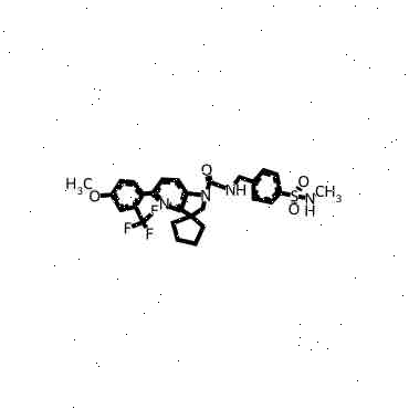 CNS(=O)(=O)c1ccc(CNC(=O)N2CC3(CCCC3)c3nc(-c4ccc(OC)cc4C(F)(F)F)ccc32)cc1